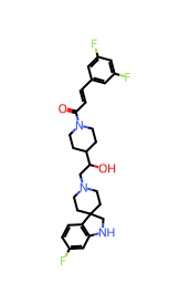 O=C(/C=C/c1cc(F)cc(F)c1)N1CCC(C(O)CN2CCC3(CC2)CNc2cc(F)ccc23)CC1